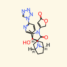 CC1CC2(C[C@H]3CC[C@H](C2)N3C[C@H](O)c2ccc(-n3cnnn3)nc2)C(=O)N1C1=CC(=O)OC1